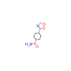 NC(=O)c1ccc(C2=NCOO2)cc1